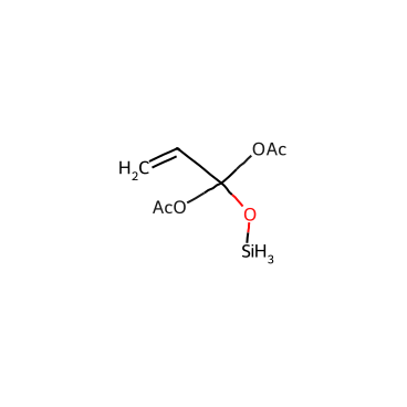 C=CC(O[SiH3])(OC(C)=O)OC(C)=O